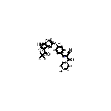 CN1CCN(C(=O)/C(C#N)=C/c2ccc(Nc3cnc4[nH]cc(C(=O)C(C)(C)C)c4n3)cc2)CC1